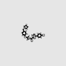 O=C(c1nnc(-c2ccc(Cl)cc2)o1)N1CC(Oc2ccc(CN3CCCC3)cc2)C1